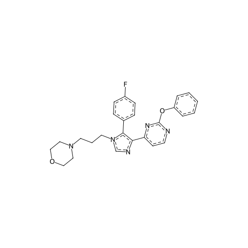 Fc1ccc(-c2c(-c3ccnc(Oc4ccccc4)n3)ncn2CCCN2CCOCC2)cc1